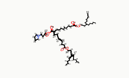 CCCCCC(CCCCC)CCOC(=O)CCCCCCCCC(CCCCCCC(=O)OCCC(CCCCC)CCCCC)C(=O)OCCCN1CCCC1